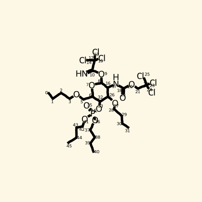 CCCCOCC1OC(OC(=N)C(Cl)(Cl)Cl)C(NC(=O)OCC(Cl)(Cl)Cl)C(OCCCC)C1OP(=O)(OCCCC)OCCCC